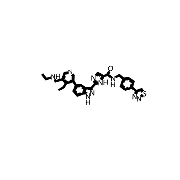 CCNCc1cncc(-c2ccc3[nH]nc(-c4ncc(C(=O)NCc5ccc(-c6csnn6)cc5)[nH]4)c3c2)c1CC